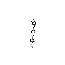 O=C1OCc2c1ccc(C=CC1CCN(C(=O)Cc3ccc(-n4cnnn4)cc3)CC1)c2Br